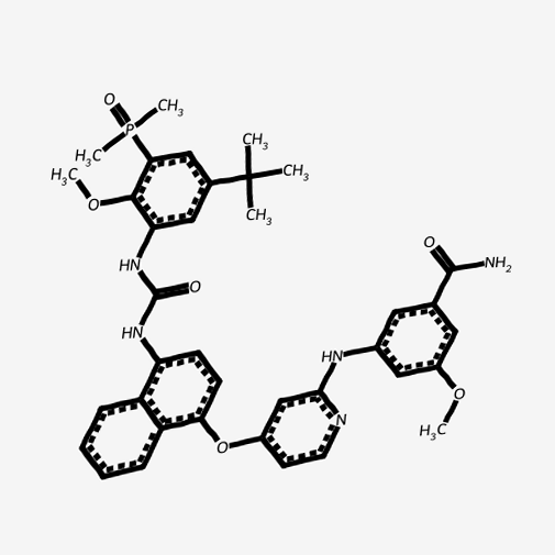 COc1cc(Nc2cc(Oc3ccc(NC(=O)Nc4cc(C(C)(C)C)cc(P(C)(C)=O)c4OC)c4ccccc34)ccn2)cc(C(N)=O)c1